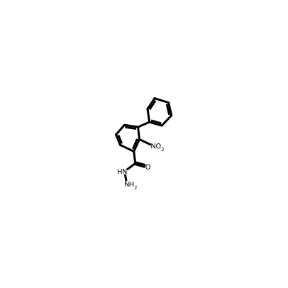 NNC(=O)c1cccc(-c2ccccc2)c1[N+](=O)[O-]